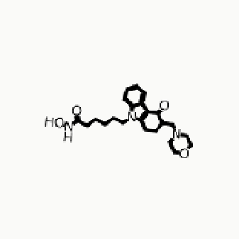 O=C(CCCCCn1c2c(c3ccccc31)C(=O)C(CN1CCOCC1)CC2)NO